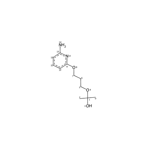 CC(C)(O)OCCCOc1cccc(N)n1